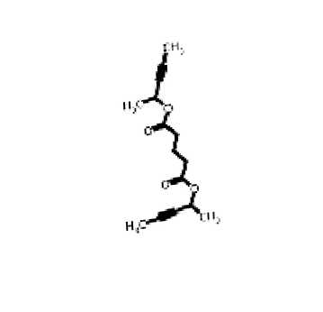 CC#CC(C)OC(=O)CCCC(=O)OC(C)C#CC